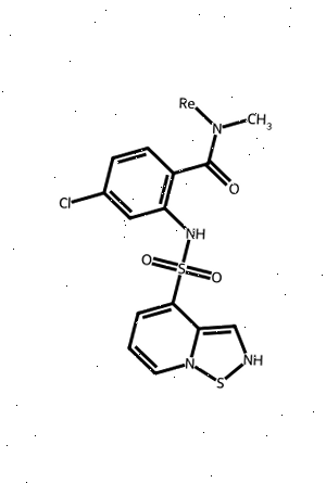 C[N]([Re])C(=O)c1ccc(Cl)cc1NS(=O)(=O)C1=CC=CN2SNC=C12